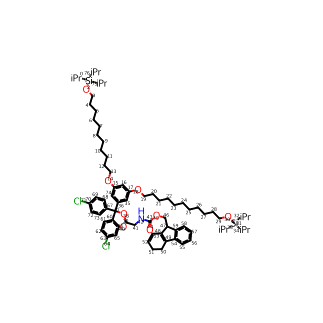 CC(C)[Si](OCCCCCCCCCCCOc1cc(OCCCCCCCCCCCO[Si](C(C)C)(C(C)C)C(C)C)cc(C(OC(=O)CNC(=O)OCC2C3=C(CCC=C3)c3ccccc32)(c2ccc(Cl)cc2)c2ccc(Cl)cc2)c1)(C(C)C)C(C)C